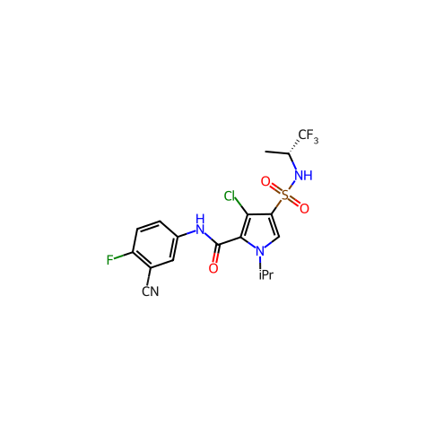 CC(C)n1cc(S(=O)(=O)N[C@H](C)C(F)(F)F)c(Cl)c1C(=O)Nc1ccc(F)c(C#N)c1